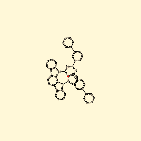 c1ccc(-c2ccc(-c3nc(-c4cccc(-c5ccccc5)c4)nc(-n4c5ccccc5c5ccc6c7ccccc7n(-c7ccccc7)c6c54)n3)cc2)cc1